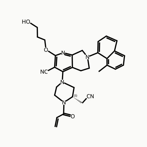 C=CC(=O)N1CCN(c2c(C#N)c(OCCCO)nc3c2CCN(c2cccc4cccc(C)c24)C3)C[C@@H]1CC#N